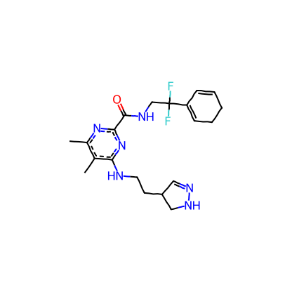 Cc1nc(C(=O)NCC(F)(F)C2=CCCC=C2)nc(NCCC2C=NNC2)c1C